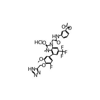 COc1cc(-c2cc(C(F)(F)F)cc3c2n(C)c(=O)n3CC(=O)Nc2cccc(S(C)(=O)=O)c2)cc(F)c1OCc1nnc[nH]1.Cl